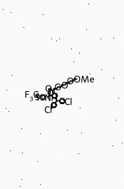 COCCOCCOCCOCCn1c(=O)cc(NC2CCN(SC(F)(F)F)CC2)c2cc(C(c3ccc(Cl)cc3)c3ccc(Cl)cc3)ccc21